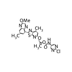 COc1cnc2c(-c3nc4c(C)cc(OC[C@@H](C)OC(=O)Nc5cnc(Cl)nc5)nc4s3)cc(C)cc2n1